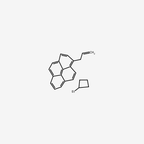 C=CCc1ccc2ccc3cccc4ccc1c2c34.CCC1CCC1